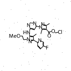 COCCn1nc(-c2ccc(F)cn2)c(C)c1Nc1cc(-n2nc(C)c(C(=O)OCCl)c2C)ncn1